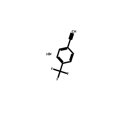 Br.C#Cc1ccc(C(F)(F)F)cc1